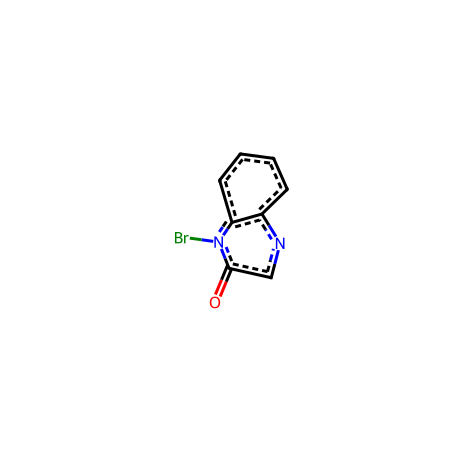 O=c1cnc2ccccc2n1Br